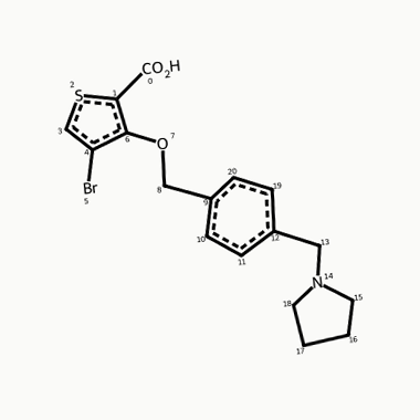 O=C(O)c1scc(Br)c1OCc1ccc(CN2CCCC2)cc1